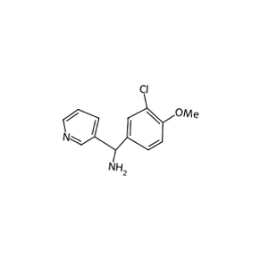 COc1ccc(C(N)c2cccnc2)cc1Cl